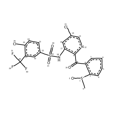 C[S+]([O-])c1ccccc1C(=O)c1ncc(Cl)cc1NS(=O)(=O)c1ccc(Cl)c(C(F)(F)F)c1